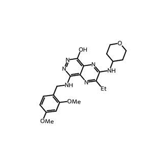 CCc1nc2c(NCc3ccc(OC)cc3OC)nnc(O)c2nc1NC1CCOCC1